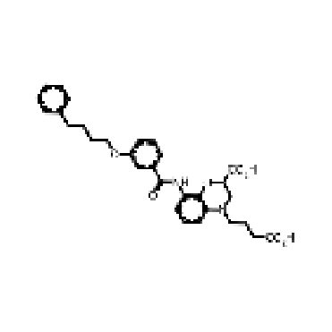 O=C(O)CCCN1CC(C(=O)O)Oc2c(NC(=O)c3cccc(OCCCCc4ccccc4)c3)cccc21